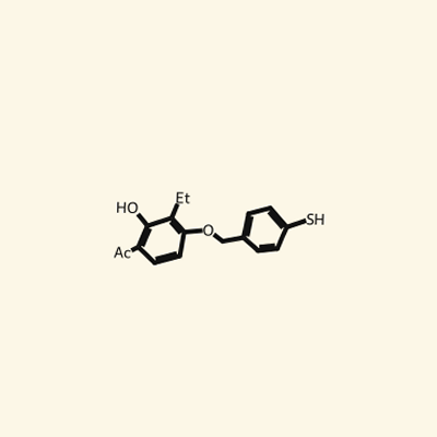 CCc1c(OCc2ccc(S)cc2)ccc(C(C)=O)c1O